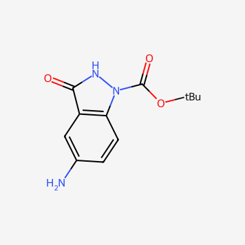 CC(C)(C)OC(=O)n1[nH]c(=O)c2cc(N)ccc21